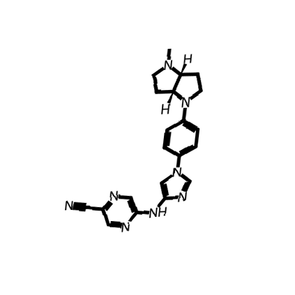 CN1CC[C@@H]2[C@H]1CCN2c1ccc(-n2cnc(Nc3cnc(C#N)cn3)c2)cc1